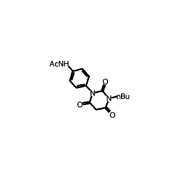 CCCCN1C(=O)CC(=O)N(c2ccc(NC(C)=O)cc2)C1=O